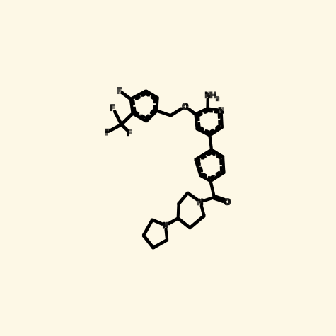 Nc1ncc(-c2ccc(C(=O)N3CCC(N4CCCC4)CC3)cc2)cc1OCc1ccc(F)c(C(F)(F)F)c1